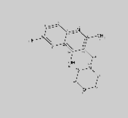 Cc1nc2ccc(F)cc2c(O)c1CN1CCOCC1